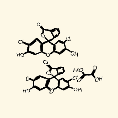 O=C(O)C(=O)O.O=C1OC2(c3cc(Cl)c(O)cc3Oc3cc(O)c(Cl)cc32)c2ccccc21.O=C1OC2(c3cc(Cl)c(O)cc3Oc3cc(O)c(Cl)cc32)c2ccccc21